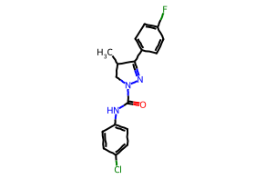 CC1CN(C(=O)Nc2ccc(Cl)cc2)N=C1c1ccc(F)cc1